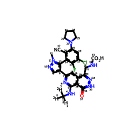 [2H]C([2H])([2H])Nc1nc(-c2cnn(C)c2-c2c(F)c(Cl)cc(N3CCCC3)c2C#N)cc2c(CNC(=O)O)n[nH]c(=O)c12